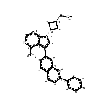 Nc1ncnc2c1c(-c1ccc3ccc(-c4ccccc4)nc3c1)cn2[C@H]1C[C@@H](CO)C1